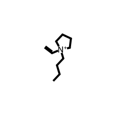 C=C[N+]1(CCCC)CCCC1